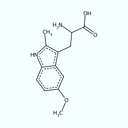 COc1ccc2[nH]c(C)c(CC(N)C(=O)O)c2c1